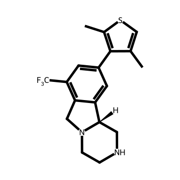 Cc1csc(C)c1-c1cc2c(c(C(F)(F)F)c1)CN1CCNC[C@@H]21